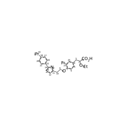 CCOC(Cc1ccc(OCCc2csc(-c3ccc(C(C)C)cc3)n2)c(F)c1)C(=O)O